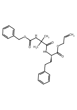 C=CCOC(=O)[C@@H](CCc1ccccc1)NC(=O)C(C)(C)NC(=O)OCc1ccccc1